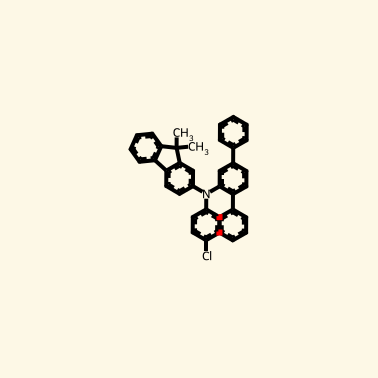 CC1(C)c2ccccc2-c2ccc(N(c3ccc(Cl)cc3)c3cc(-c4ccccc4)ccc3-c3ccccc3)cc21